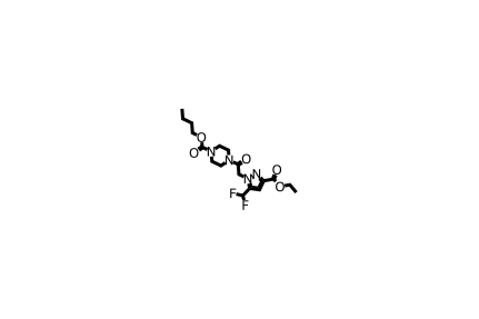 CCCCOC(=O)N1CCN(C(=O)Cn2nc(C(=O)OCC)cc2C(F)F)CC1